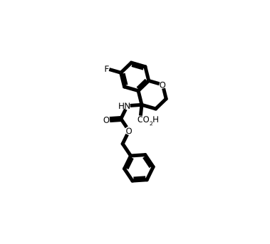 O=C(NC1(C(=O)O)CCOc2ccc(F)cc21)OCc1ccccc1